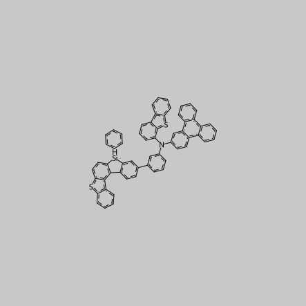 c1ccc([SiH]2c3cc(-c4cccc(N(c5ccc6c7ccccc7c7ccccc7c6c5)c5cccc6c5sc5ccccc56)c4)ccc3-c3c2ccc2sc4ccccc4c32)cc1